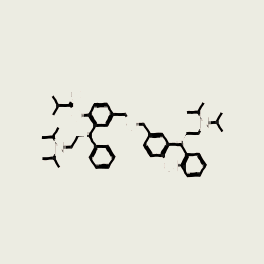 CC(C)C(=O)Oc1ccc(COCc2ccc(O)c([C@@H](CCN(C(C)C)C(C)C)c3ccccc3)c2)cc1[C@H](CCN(C(C)C)C(C)C)c1ccccc1